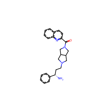 N[C@@H](CCN1CC2CN(C(=O)c3ccc4ccccc4n3)CC2C1)c1ccccc1